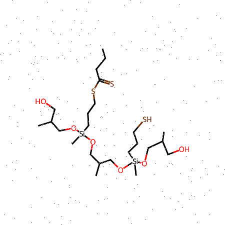 CCCC(=S)SCCC[Si](C)(OCC(C)CO)OCC(C)CO[Si](C)(CCCS)OCC(C)CO